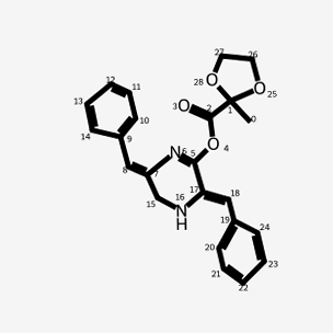 CC1(C(=O)OC2=NC(=C\c3ccccc3)/CN/C2=C\c2ccccc2)OCCO1